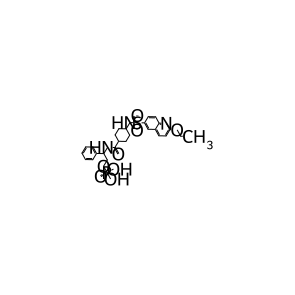 CCOc1ccc2cc(S(=O)(=O)NC3CCC(C(=O)NC(COP(=O)(O)O)c4ccccc4)CC3)ccc2n1